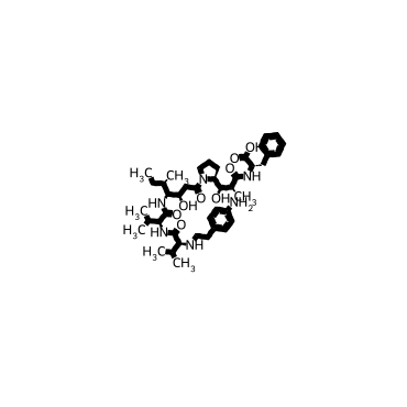 CC[C@H](C)[C@H](NC(=O)[C@@H](NC(=O)[C@@H](NCCc1ccc(N)cc1)C(C)C)C(C)C)[C@H](O)CC(=O)N1CCC[C@H]1[C@H](O)[C@@H](C)C(=O)N[C@@H](Cc1ccccc1)C(=O)O